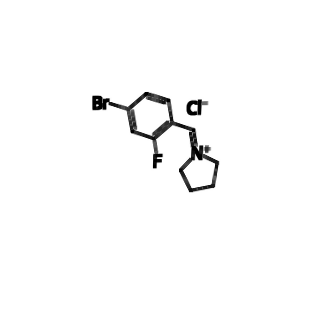 Fc1cc(Br)ccc1C=[N+]1CCCC1.[Cl-]